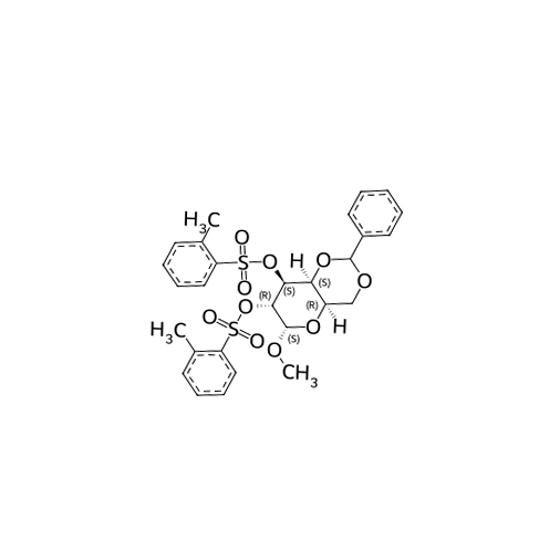 CO[C@H]1O[C@@H]2COC(c3ccccc3)O[C@@H]2[C@H](OS(=O)(=O)c2ccccc2C)[C@H]1OS(=O)(=O)c1ccccc1C